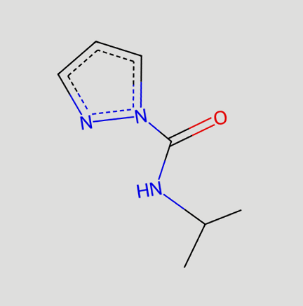 CC(C)NC(=O)n1cccn1